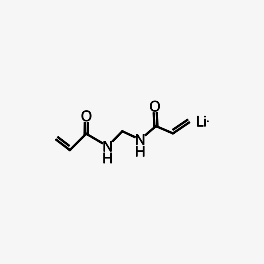 C=CC(=O)NCNC(=O)C=C.[Li]